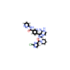 NC1NC=Cn2c([C@@H]3CCCCN3C(=O)c3ccnc(Cl)n3)nc(-c3ccc(C(=O)Nc4cccnn4)cc3)c21